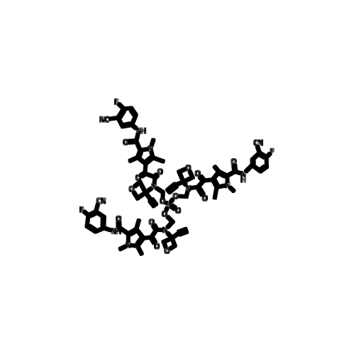 C#CC1(N(COP(=O)(OCN(C(=O)C(=O)c2c(C)c(C(=O)Nc3ccc(F)c(C#N)c3)n(C)c2C)C2(C#C)COC2)OCN(C(=O)C(=O)c2c(C)c(C(=O)Nc3ccc(F)c(C#N)c3)n(C)c2C)C2(C#C)COC2)C(=O)C(=O)c2c(C)c(C(=O)Nc3ccc(F)c(C#N)c3)n(C)c2C)COC1